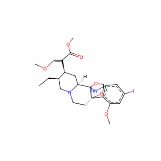 CC[C@@H]1CN2CC[C@@]34OCCO[C@@]3(Nc3cc(I)cc(OC)c34)[C@@H]2C[C@@H]1/C(=C\OC)C(=O)OC